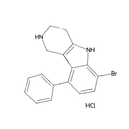 Brc1ccc(-c2ccccc2)c2c3c([nH]c12)CCNC3.Cl